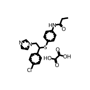 CCC(=O)Nc1ccc(SC(Cn2ccnc2)c2ccc(Cl)cc2)cc1.O=C(O)C(=O)O